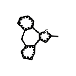 Cc1cc2c(s1)-c1ccccc1Cc1ccccc1-2